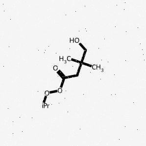 CC(C)OOC(=O)CC(C)(C)CO